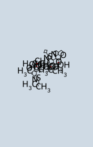 Cc1cc2nc(CC(C)C)sc2c(-c2ccc3c4c(ccnc24)CC(c2c(C)c([C@H](OC(C)(C)C)C(=O)O)c(-c4ccc5c6c(ccnc46)CCO5)c4sc(C5CCC5)nc24)O3)c1[C@H](OC(C)(C)C)C(=O)O